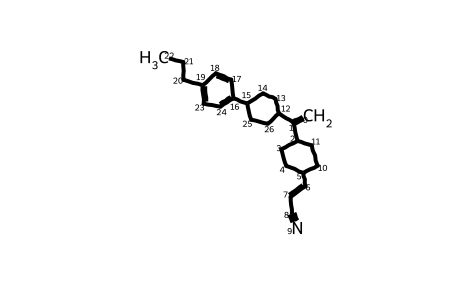 C=C(C1CCC(C=CC#N)CC1)C1CCC(c2ccc(CCC)cc2)CC1